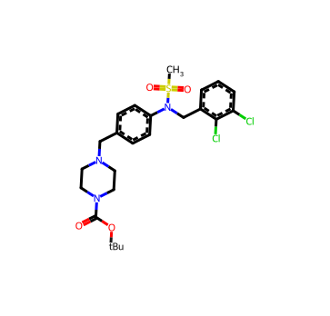 CC(C)(C)OC(=O)N1CCN(Cc2ccc(N(Cc3cccc(Cl)c3Cl)S(C)(=O)=O)cc2)CC1